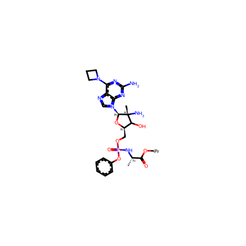 CC(C)OC(=O)[C@H](C)NP(=O)(OC[C@H]1O[C@@H](n2cnc3c(N4CCC4)nc(N)nc32)[C@](C)(N)C1O)Oc1ccccc1